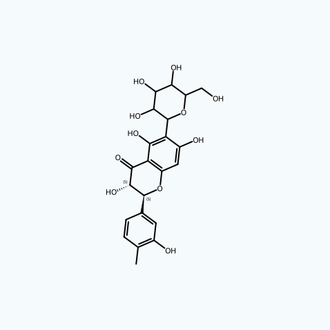 Cc1ccc([C@@H]2Oc3cc(O)c(C4OC(CO)C(O)C(O)C4O)c(O)c3C(=O)[C@H]2O)cc1O